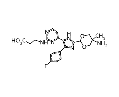 CC1(N)COC(c2nc(-c3ccc(F)cc3)c(-c3ccnc(NCCC(=O)O)n3)[nH]2)OC1